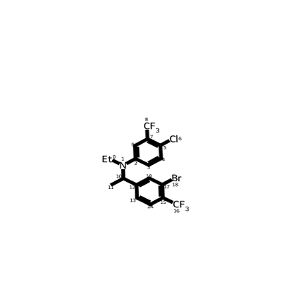 CCN(c1ccc(Cl)c(C(F)(F)F)c1)C(C)c1ccc(C(F)(F)F)c(Br)c1